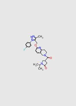 Cc1nnn(-c2ccc(F)cc2)c1COc1ccc2c(n1)CCN(C(=O)C1CC(=O)N(C(C)C)C1)C2